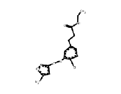 CCNC(=O)CCc1ccc(Cl)c(CCc2cc(C)on2)c1